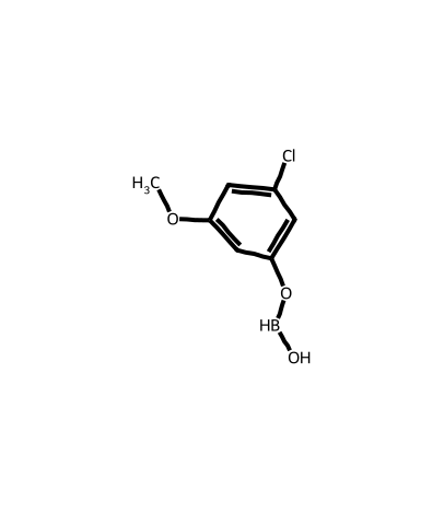 COc1cc(Cl)cc(OBO)c1